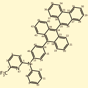 FC(F)(F)c1cccc(N(c2ccccc2)c2ccc(-c3c4ccccc4c(-c4cc5ccccc5c5ccccc45)c4ccccc34)cc2)n1